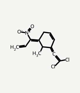 C=C/C(=C1/CC=CC(=C=C(Cl)Cl)C1C)[N+](=O)[O-]